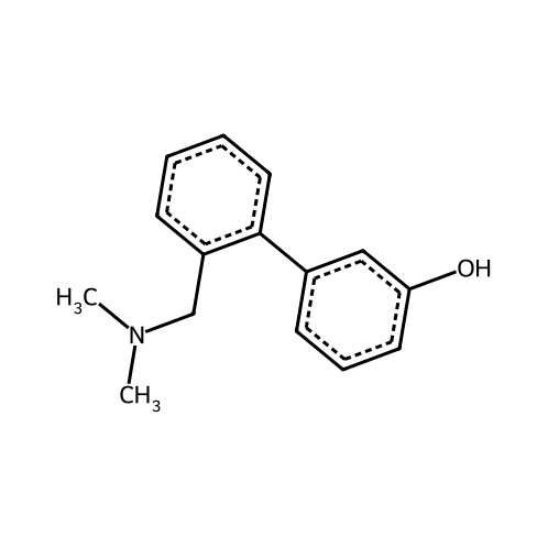 CN(C)Cc1ccccc1-c1cccc(O)c1